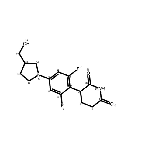 O=C1CCC(c2c(F)cc(N3CCC(CO)C3)cc2F)C(=O)N1